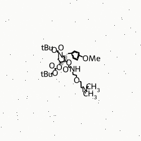 COc1ccc(C[C@@H]2[C@H](OC(=O)NCCOCCN(C)C)[C@@H](OC(=O)OC(C)(C)C)CN2C(=O)OC(C)(C)C)cc1